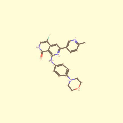 Cc1ccc(-c2cc3c(F)c[nH]c(=O)c3c(Nc3ccc(N4CCOCC4)cc3)n2)cn1